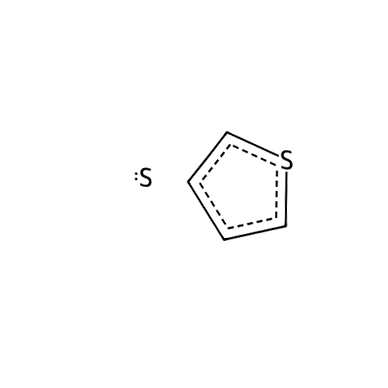 [S].c1ccsc1